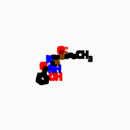 CCCC[S+]([O-])c1cnc(NC(=O)c2ccccc2O)s1